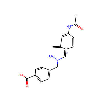 C=c1cc(NC(C)=O)cc/c1=C/N(N)Cc1ccc(C(=O)O)cc1